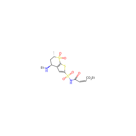 CCN[C@H]1C[C@H](C)S(=O)(=O)c2sc(S(=O)(=O)NC(=O)/C=C\C(=O)OCC)cc21